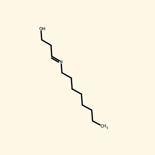 CCCCCCCCN=CCCO